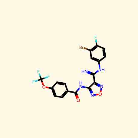 N=C(Nc1ccc(F)c(Br)c1)c1nonc1NC(=O)c1ccc(OC(F)(F)F)cc1